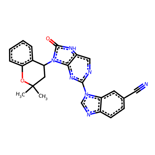 CC1(C)CC(n2c(=O)[nH]c3cnc(-n4cnc5ccc(C#N)cc54)nc32)c2ccccc2O1